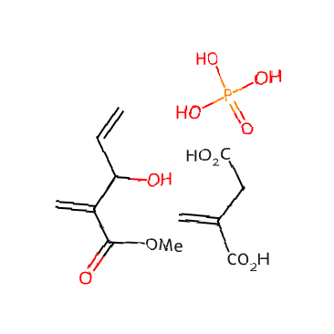 C=C(CC(=O)O)C(=O)O.C=CC(O)C(=C)C(=O)OC.O=P(O)(O)O